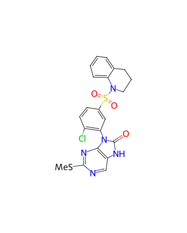 CSc1ncc2[nH]c(=O)n(-c3cc(S(=O)(=O)N4CCCc5ccccc54)ccc3Cl)c2n1